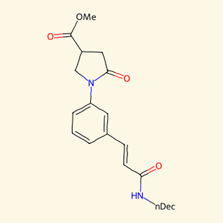 CCCCCCCCCCNC(=O)C=Cc1cccc(N2CC(C(=O)OC)CC2=O)c1